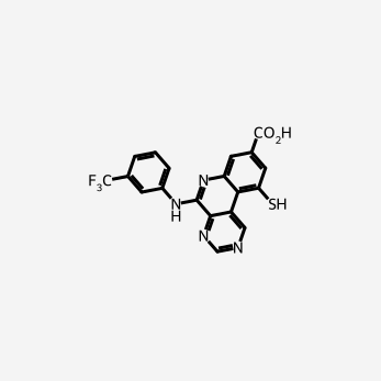 O=C(O)c1cc(S)c2c(c1)nc(Nc1cccc(C(F)(F)F)c1)c1ncncc12